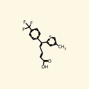 Cc1csc(C(=CC=CC(=O)O)c2ccc(C(F)(F)F)cc2)c1